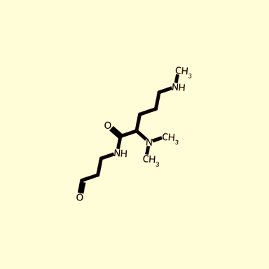 CNCCCC(C(=O)NCCC=O)N(C)C